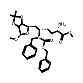 COC(=O)[C@@H](N)CC[C@@H](C[C@H]1O[C@@H](OC)C2OC(C)(C)OC21)N(Cc1ccccc1)C(=O)OCc1ccccc1